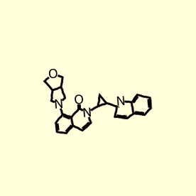 O=c1c2c(N3CC4COCC4C3)cccc2ccn1C1CC1c1ccc2ccccc2n1